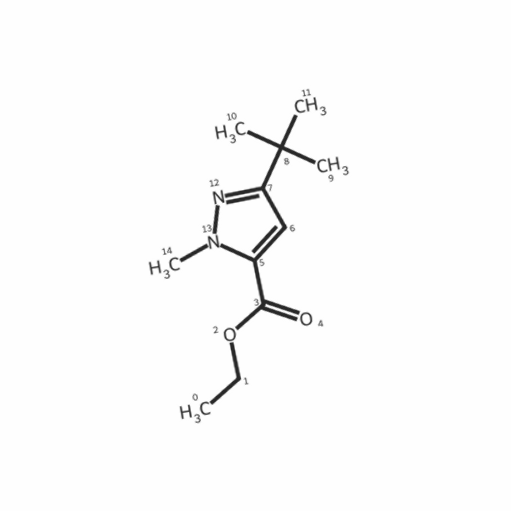 CCOC(=O)c1cc(C(C)(C)C)nn1C